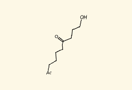 CC(=O)CCCCC(=O)CCCO